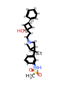 CCC1(c2cccc(NS(C)(=O)=O)c2)C2CN(CC[C@]3(O)C[C@H](c4ccccc4)C3)CC21